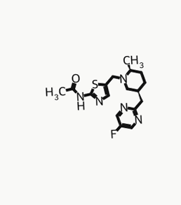 CC(=O)Nc1ncc(CN2C[C@H](Cc3ncc(F)cn3)CC[C@@H]2C)s1